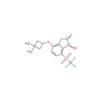 CC1(C)CC(Oc2ccc(S(=O)(=O)C(F)(F)F)c3c2C[C@@H](F)[C@H]3O)C1